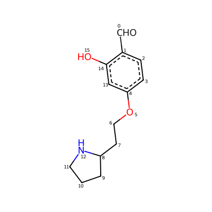 O=Cc1ccc(OCCC2CCCN2)cc1O